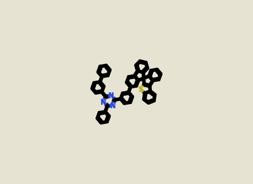 c1ccc(-c2cccc(-c3nc(-c4ccccc4)nc(-c4cccc(-c5ccc6c(c5)C5(c7ccccc7-6)c6ccccc6-c6c5sc5ccccc65)c4)n3)c2)cc1